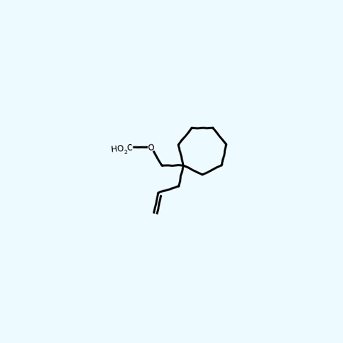 C=CCC1(COC(=O)O)CCCCCC1